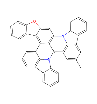 Cc1cc2c3c(c1)c1ccccc1n3-c1cc3oc4ccccc4c3c3c1B2n1c2ccccc2c2cccc-3c21